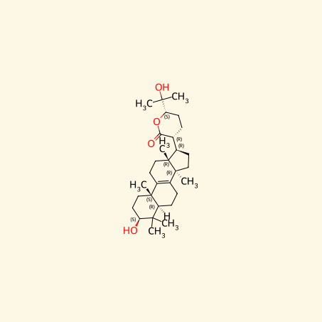 CC(C)(O)[C@@H]1CC[C@H]([C@H]2CC[C@@]3(C)C4=C(CC[C@]23C)[C@@]2(C)CC[C@H](O)C(C)(C)[C@@H]2CC4)C(=O)O1